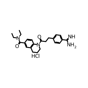 CCN(CC)C(=O)c1ccc2c(c1)CCCN2C(=O)CCc1ccc(C(=N)N)cc1.Cl